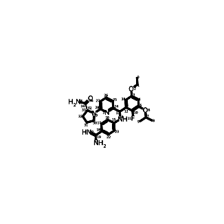 CCOc1cc(OC(C)C)c(F)c(C(Nc2ccc(C(=N)N)cc2)c2cccc(N3CCC[C@H]3C(N)=O)n2)c1